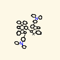 CC1(C)c2ccccc2[C@]2(c3ccccc3-c3c(-c4ccc(N(c5ccccc5)c5ccccc5)cc4)cccc32)c2cc(-c3ccc4c(c3)C3(c5ccccc5-c5c(-c6ccc(N(c7ccccc7)c7ccccc7)cc6)cccc53)c3ccccc3C4(c3ccccc3)c3ccccc3)ccc21